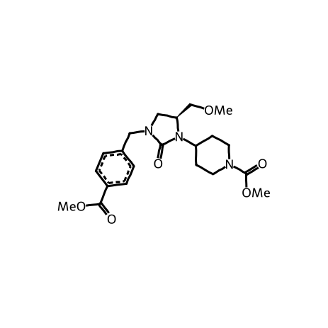 COC[C@@H]1CN(Cc2ccc(C(=O)OC)cc2)C(=O)N1C1CCN(C(=O)OC)CC1